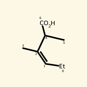 CCC=C(C)C(C)C(=O)O